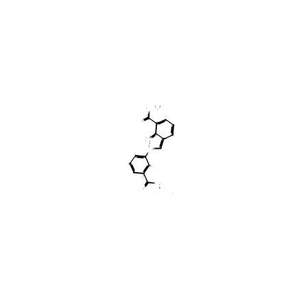 COC(=O)c1cccc2cn(-c3cccc(C(=O)OC(C)(C)C)c3)nc12